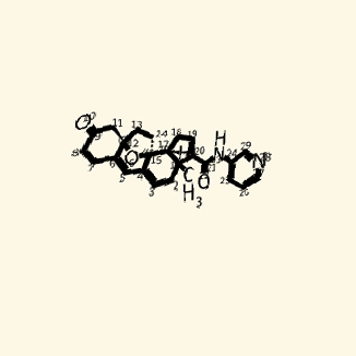 CC12CC=C3C=C4CCC(=O)C[C@]45CC[C@]3(O5)[C@@H]1CC=C2C(=O)Nc1cccnc1